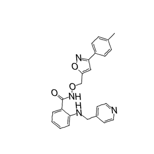 Cc1ccc(-c2cc(CONC(=O)c3ccccc3NCc3ccncc3)on2)cc1